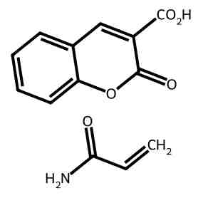 C=CC(N)=O.O=C(O)c1cc2ccccc2oc1=O